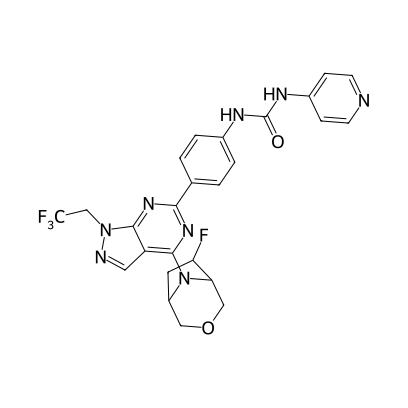 O=C(Nc1ccncc1)Nc1ccc(-c2nc(N3C4COCC3C(F)C4)c3cnn(CC(F)(F)F)c3n2)cc1